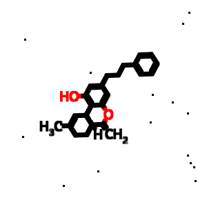 C=C1Oc2cc(CCCc3ccccc3)cc(O)c2C2C=C(C)CC[C@@H]12